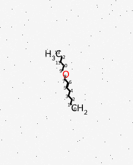 C=CCCCC=CCOCCCCC